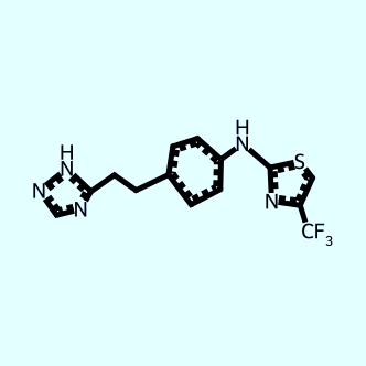 FC(F)(F)c1csc(Nc2ccc(CCc3ncn[nH]3)cc2)n1